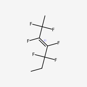 CCC(F)(F)/C(F)=C(\F)C(C)(F)F